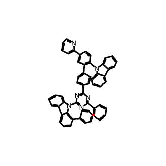 c1ccc(-c2nc(-c3ccc(-c4cc(-c5ccccn5)ccc4-n4c5ccccc5c5ccccc54)cc3)nc(-n3c4ccccc4c4cccc(-c5ccccc5)c43)n2)cc1